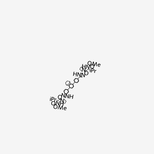 COC(=O)N[C@H](C(=O)N1CCC[C@H]1c1ncc(-c2ccc(-c3ccc(-c4ccc5nc([C@@H]6CCCN6C(=O)[C@@H](NC(=O)OC)C(C)C)[nH]c5c4)c4c3C3CCC4CC3)cc2)[nH]1)C(C)C